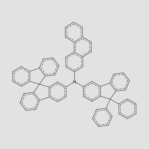 c1ccc(C2(c3ccccc3)c3ccccc3-c3cc(N(c4ccc5c(c4)C4(c6ccccc6-c6ccccc64)c4ccccc4-5)c4ccc5c(ccc6ccccc65)c4)ccc32)cc1